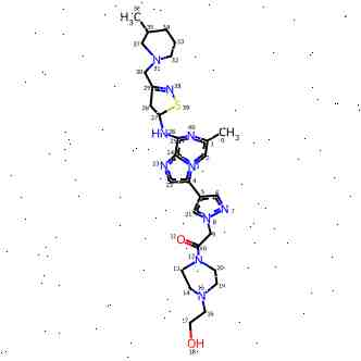 Cc1cn2c(-c3cnn(CC(=O)N4CCN(CCO)CC4)c3)cnc2c(NC2CC(CN3CCCC(C)C3)=NS2)n1